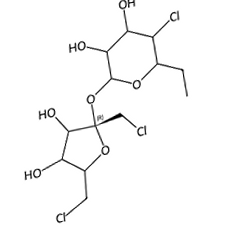 CCC1OC(O[C@]2(CCl)OC(CCl)C(O)C2O)C(O)C(O)C1Cl